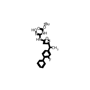 CC(c1ccc(-c2ccccc2)c(F)c1)c1cc(N/C(=N/O)NC(=O)OC(C)(C)C)on1